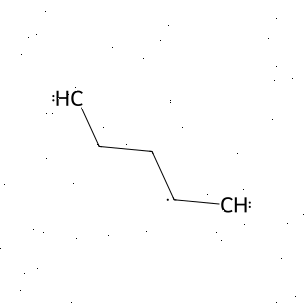 [CH][CH]CC[CH]